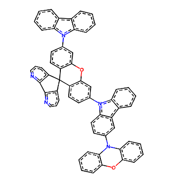 c1ccc2c(c1)Oc1ccccc1N2c1ccc2c(c1)c1ccccc1n2-c1ccc2c(c1)Oc1cc(-n3c4ccccc4c4ccccc43)ccc1C21c2cccnc2-c2ncccc21